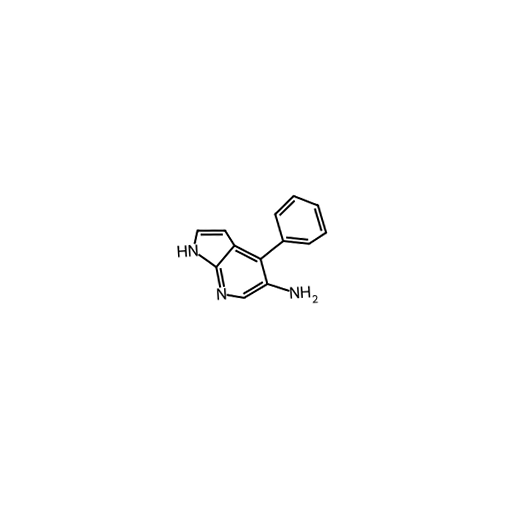 Nc1cnc2[nH]ccc2c1-c1ccccc1